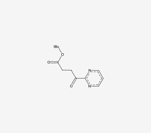 CC(C)(C)OC(=O)CCC(=O)c1ncccn1